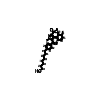 COC(=O)c1cn(C)c(C(=O)c2ccc(CCCCCCCCO)cc2)c1-c1c(F)ccc(F)c1C